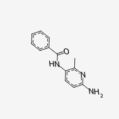 Cc1nc(N)ccc1NC(=O)c1ccccc1